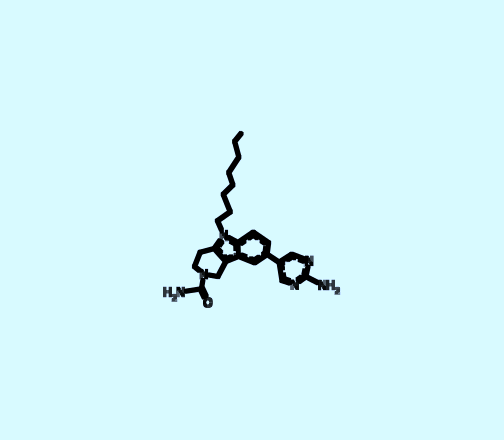 CCCCCCCCn1c2c(c3cc(-c4cnc(N)nc4)ccc31)CN(C(N)=O)CC2